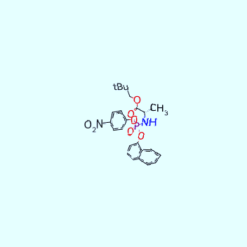 C[C@H](NP(=O)(Oc1ccc([N+](=O)[O-])cc1)Oc1cccc2ccccc12)C(=O)OCC(C)(C)C